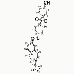 N#Cc1ccc(S(=O)(=O)N2CCC(COc3ccc4c(c3)CCN(C3CCC3)CC4)CC2)cc1